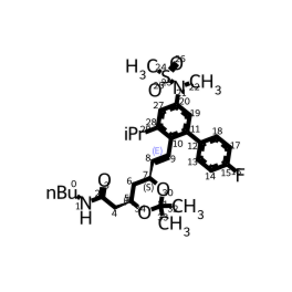 CCCCNC(=O)C[C@H]1C[C@@H](/C=C/c2c(-c3ccc(F)cc3)cc(N(C)S(C)(=O)=O)cc2C(C)C)OC(C)(C)O1